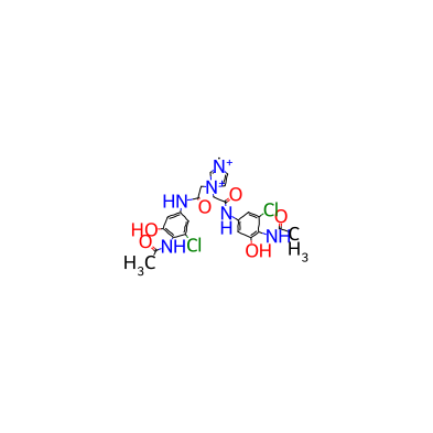 CC(=O)Nc1c(O)cc(NC(=O)C[N+]2(CC(=O)Nc3cc(O)c(NC(C)=O)c(Cl)c3)C=C[N+]=C2)cc1Cl